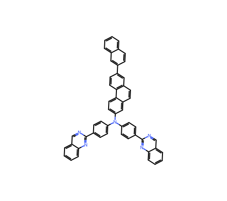 c1ccc2cc(-c3ccc4c(ccc5cc(N(c6ccc(-c7ncc8ccccc8n7)cc6)c6ccc(-c7ncc8ccccc8n7)cc6)ccc54)c3)ccc2c1